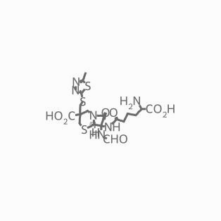 Cc1nnc(SCC2(C(=O)O)CS[C@H]3N(C2)C(=O)C3(NC=O)NC(=O)CCCC(N)C(=O)O)s1